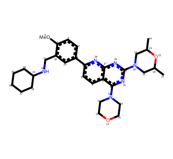 COc1ccc(-c2ccc3c(N4CCOCC4)nc(N4CC(C)OC(C)C4)nc3n2)cc1CNC1CCCCC1